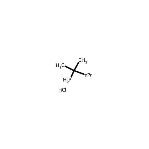 CCCC(C)(C)P.Cl